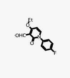 CCOc1ccn(-c2ccc(F)cc2)c(=O)c1[C]=O